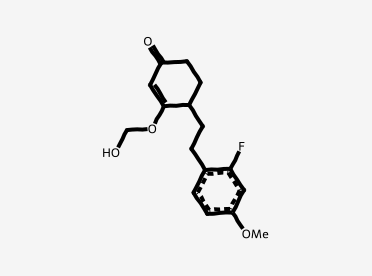 COc1ccc(CCC2CCC(=O)C=C2OCO)c(F)c1